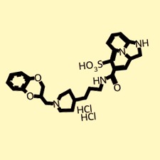 Cl.Cl.O=C(NCCCC1CCN(CC2COc3ccccc3O2)CC1)C1=CC2CNC3=CC=CC(=C1S(=O)(=O)O)N32